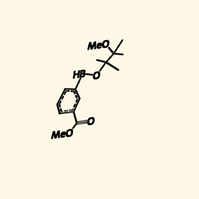 COC(=O)c1cccc(BOC(C)(C)C(C)(C)OC)c1